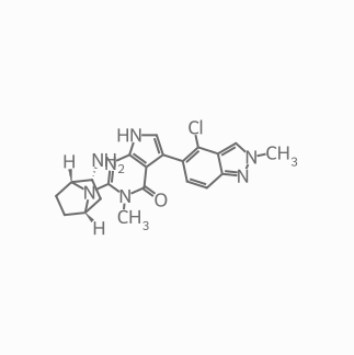 Cn1cc2c(Cl)c(-c3c[nH]c4nc(N5[C@H]6CC[C@@H]5[C@H](N)C6)n(C)c(=O)c34)ccc2n1